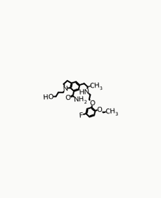 CCOc1ccc(F)cc1OCCN[C@H](C)Cc1cc2c(c(C(N)=O)c1)N(CCCO)CC2